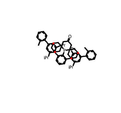 Cc1ccccc1-c1cc(C(C)C)c(-c2cccc(-c3c(C(C)C)cc(-c4ccccc4C)cc3C(C)C)c2P2C3(CCCCC3)CC(=O)CC23CCCCC3)c(C(C)C)c1